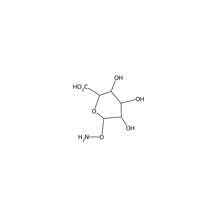 NOC1OC(C(=O)O)C(O)C(O)C1O